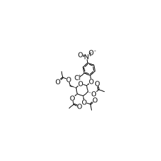 CC(=O)OC[C@H]1O[C@@H](Oc2ccc([N+](=O)[O-])cc2Cl)[C@H](OC(C)=O)[C@@H](OC(C)=O)[C@H]1OC(C)=O